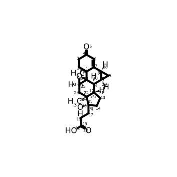 C[C@]12CCC(=O)C=C1[C@H]1C[C@H]1[C@H]1[C@@H]3CC[C@@](O)(CCC(=O)O)[C@@]3(C)C[C@H]3O[C@@]132